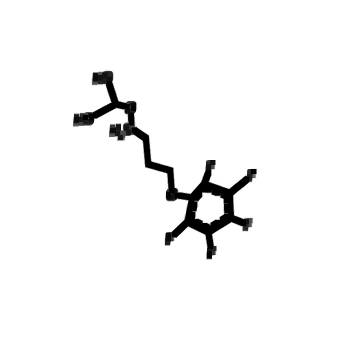 OC(O)O[SiH2]CCCOc1c(F)c(F)c(F)c(F)c1F